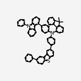 CC1(C)c2ccccc2-c2c(N(c3ccc(-c4ccc5sc6ccc(-c7ccccc7)cc6c5c4)cc3)c3ccc(-c4cccc5c4c4ccccc4n5-c4ccccc4)cc3)cccc21